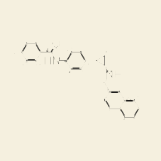 O=C(Nc1ccc([C@@H]2C[C@H]2NCc2ccc3ccccc3c2)cc1)c1ccccc1